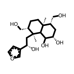 C[C@@]12CC[C@@H](CO)[C@](C)(C[C@H](O)c3ccoc3)C1C(O)[C@@H](O)C[C@H]2CO